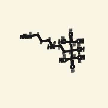 CCCCCCCCCCCCNCCC(O)(P(=O)(O)O)P(=O)(O)O